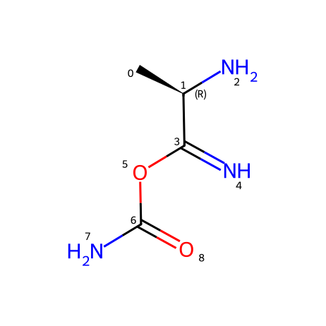 C[C@@H](N)C(=N)OC(N)=O